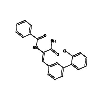 O=C(O)/C(=C\c1cccc(-c2ccccc2Cl)c1)NC(=O)c1ccccc1